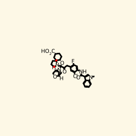 Cn1cc(C(=O)Nc2cc(F)c(CC(=O)C(O[C@H]3CC[C@H](C(=O)O)CC3)(N3CCCC3)N3C[C@H]4C[C@H]3CO4)cc2Cl)c2ccccc21